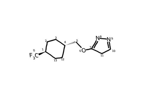 FC(F)(F)[C@H]1CC[C@H](COC2=NN=CC2)CC1